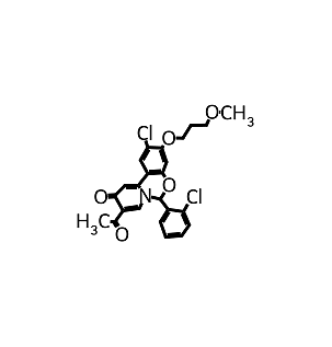 COCCCOc1cc2c(cc1Cl)-c1cc(=O)c(C(C)=O)cn1C(c1ccccc1Cl)O2